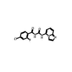 O=C(NC(=O)c1ccc(Cl)cc1F)Nc1cccc2nccn12